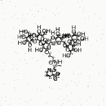 CC(NC(=O)CCCO[C@H]1OC(CO[C@H]2OC(CO[C@H]3OC(CO)[C@@H](O)[C@H](O)C3O[C@H]3OC(CO)[C@@H](O)[C@H](O)C3O)[C@@H](O)[C@H](O)C2O)[C@@H](O)[C@H](O[C@H]2OC(CO)[C@@H](O)[C@H](O)C2O[C@H]2OC(CO)[C@@H](O)[C@H](O)C2O)C1O)SSC1N=CC=CC1[N+](=O)[O-]